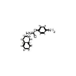 Nc1ccc(OC(=O)NN2CCc3ccccc3C2)cc1